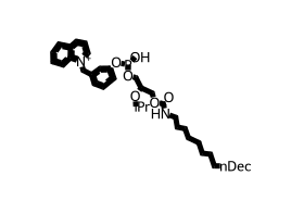 CCCCCCCCCCCCCCCCCCNC(=O)OCC(COP(O)Oc1cccc(C[n+]2cccc3ccccc32)c1)OC(C)C